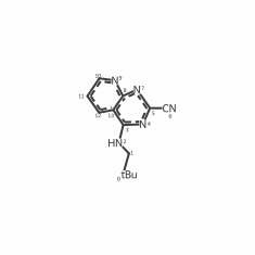 CC(C)(C)CNc1nc(C#N)nc2ncccc12